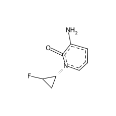 Nc1cccn([C@@H]2CC2F)c1=O